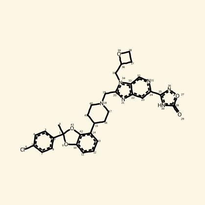 CC1(c2ccc(Cl)cc2)Oc2cccc(C3CCN(Cc4nc5cc(-c6noc(=O)[nH]6)ncc5n4CC4CCO4)CC3)c2O1